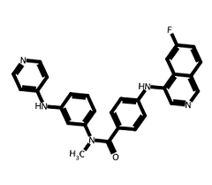 CN(C(=O)c1ccc(Nc2cncc3ccc(F)cc23)cc1)c1cccc(Nc2ccncc2)c1